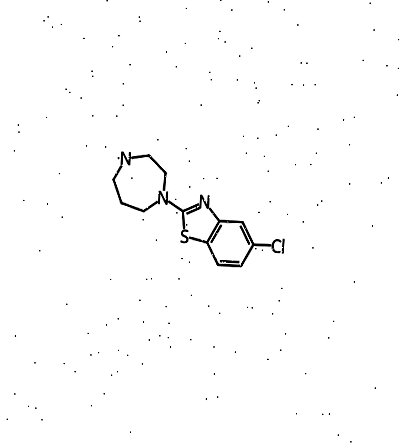 Clc1ccc2sc(N3CCC[N]CC3)nc2c1